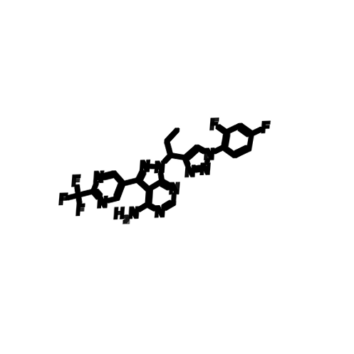 CCC(c1cn(-c2ccc(F)cc2F)nn1)n1nc(-c2cnc(C(F)(F)F)nc2)c2c(N)ncnc21